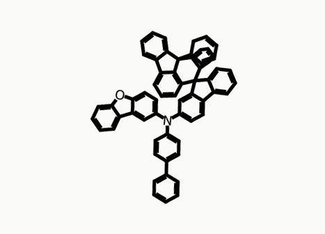 C1=CCC(C23c4ccccc4-c4cccc(c42)C2(c4ccccc4-c4ccc(N(c5ccc(-c6ccccc6)cc5)c5ccc6oc7ccccc7c6c5)cc42)c2ccccc23)C=C1